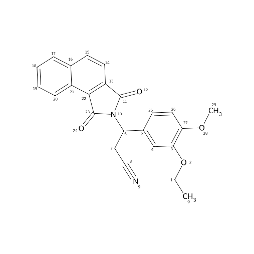 CCOc1cc(C(CC#N)N2C(=O)c3ccc4ccccc4c3C2=O)ccc1OC